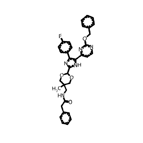 CC1(CNC(=O)Cc2ccccc2)COC(c2nc(-c3ccc(F)cc3)c(-c3ccnc(OCc4ccccc4)n3)[nH]2)OC1